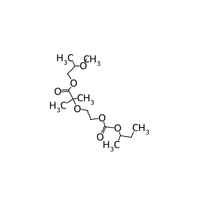 CCC(C)OC(=O)OCCOC(C)(C)C(=O)OCC(C)OC